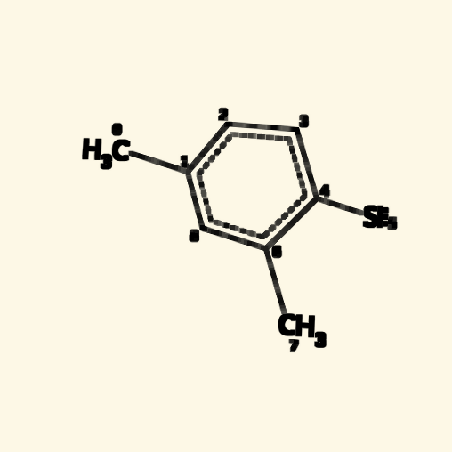 Cc1ccc([Si])c(C)c1